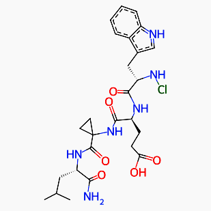 CC(C)C[C@H](NC(=O)C1(NC(=O)[C@H](CCC(=O)O)NC(=O)[C@H](Cc2c[nH]c3ccccc23)NCl)CC1)C(N)=O